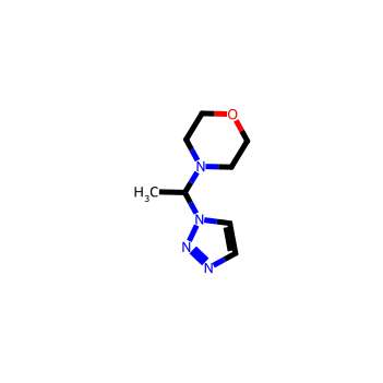 C[C](N1CCOCC1)n1ccnn1